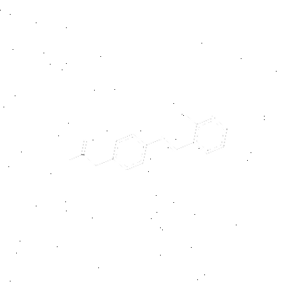 O=C(O)Cc1ccc(N=Cc2cccnc2Br)cc1